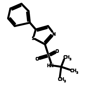 CC(C)(C)NS(=O)(=O)c1ncc(-c2ccccc2)s1